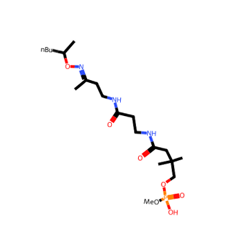 CCCCC(C)O/N=C(\C)CCNC(=O)CCNC(=O)CC(C)(C)COP(=O)(O)OC